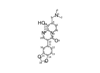 CN(C)Cc1ccn2c(=O)c(-c3ccc4c(c3)OCO4)cnc2c1O